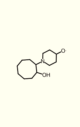 [O]C1CCN(C2CCCCCCC2O)CC1